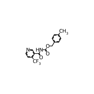 Cc1ccc(COC(=O)NC(=O)c2cnccc2C(F)(F)F)cc1